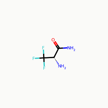 NC(=O)[C@H](N)C(F)(F)F